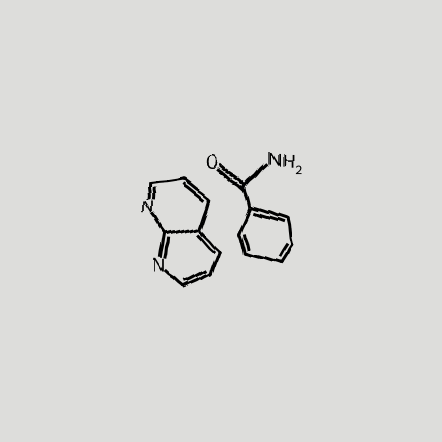 NC(=O)c1ccccc1.c1cnc2ncccc2c1